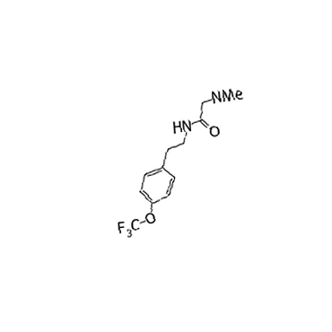 CNCC(=O)NCCc1ccc(OC(F)(F)F)cc1